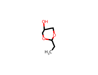 CCC1OCC(O)CO1